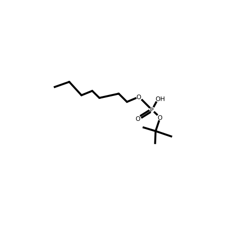 CCCCCCCOP(=O)(O)OC(C)(C)C